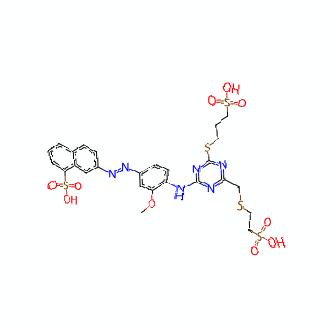 COc1cc(/N=N/c2ccc3cccc(S(=O)(=O)O)c3c2)ccc1Nc1nc(CSCCS(=O)(=O)O)nc(SCCCS(=O)(=O)O)n1